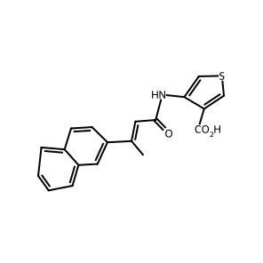 CC(=CC(=O)Nc1cscc1C(=O)O)c1ccc2ccccc2c1